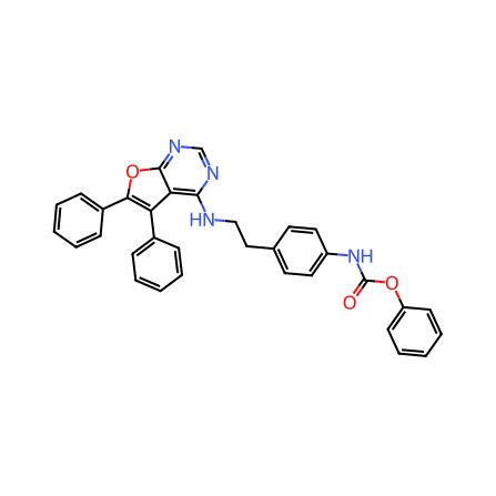 O=C(Nc1ccc(CCNc2ncnc3oc(-c4ccccc4)c(-c4ccccc4)c23)cc1)Oc1ccccc1